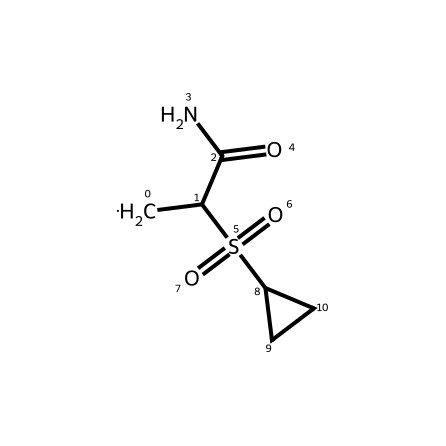 [CH2]C(C(N)=O)S(=O)(=O)C1CC1